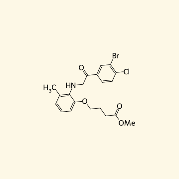 COC(=O)CCCOc1cccc(C)c1NCC(=O)c1ccc(Cl)c(Br)c1